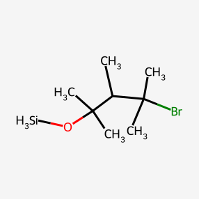 CC(C(C)(C)Br)C(C)(C)O[SiH3]